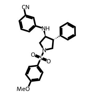 COc1ccc(S(=O)(=O)N2C[C@@H](Nc3cccc(C#N)c3)[C@H](c3ccccc3)C2)cc1